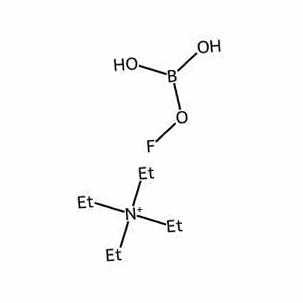 CC[N+](CC)(CC)CC.OB(O)OF